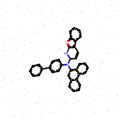 C1=CC(N(c2ccc(-c3ccccc3)cc2)c2cc3ccccc3c3ccccc23)Nc2oc3ccccc3c21